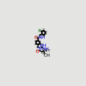 C#C[C@@]1(C(C)C)CC(=O)N(Cc2ccc(C(=O)NCc3ccccc3F)cc2)C(=N)N1